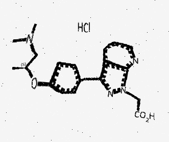 C[C@@H](CN(C)C)Oc1ccc(-c2nn(CC(=O)O)c3ncccc23)cc1.Cl